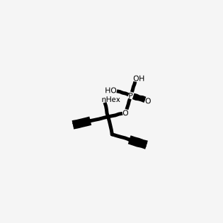 C#CCC(C#C)(CCCCCC)OP(=O)(O)O